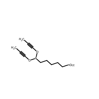 CC#CON(CCCCCCCCCCCCC)OC#CC